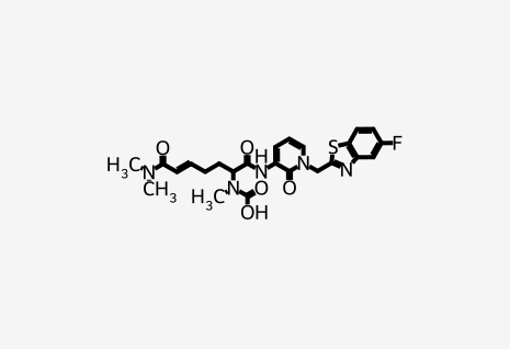 CN(C)C(=O)C=CCCC(C(=O)Nc1cccn(Cc2nc3cc(F)ccc3s2)c1=O)N(C)C(=O)O